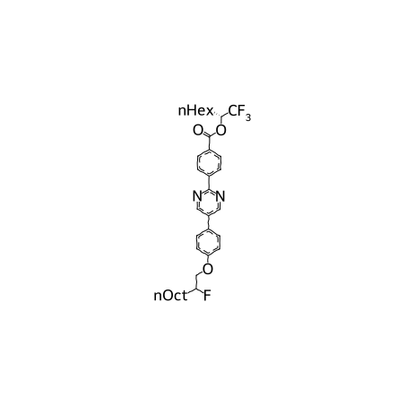 CCCCCCCCC(F)COc1ccc(-c2cnc(-c3ccc(C(=O)O[C@H](CCCCCC)C(F)(F)F)cc3)nc2)cc1